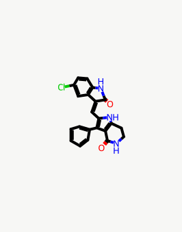 O=C1Nc2ccc(Cl)cc2/C1=C/c1[nH]c2c(c1-c1ccccc1)C(=O)NCC2